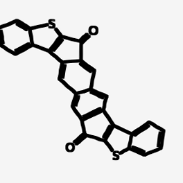 O=c1c2cc3cc4c(cc3cc2c2c1sc1ccccc12)c(=O)c1sc2ccccc2c14